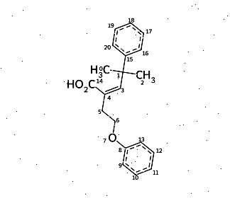 CC(C)(C=C(CCOc1ccccc1)C(=O)O)c1ccccc1